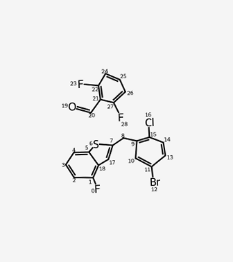 Fc1cccc2sc(Cc3cc(Br)ccc3Cl)cc12.O=Cc1c(F)cccc1F